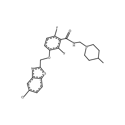 CC1CCN(CNC(=O)c2c(F)ccc(OCc3nc4cc(Cl)ccc4s3)c2F)CC1